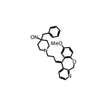 COc1ccc2c(c1)C(=CCCN1CCC(Cc3ccccc3)(N=O)CC1)c1cccnc1CO2